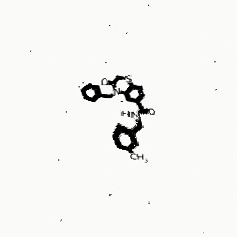 Cc1cccc(CNC(=O)c2ccc3c(c2)N(Cc2ccccc2)C(=O)CS3)c1